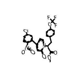 COC(=O)C(Cc1ccc(OC(F)(F)F)cc1)n1ccc(-c2cc(Cl)ccc2[N+](=O)[O-])cc1=O